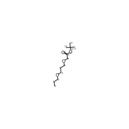 CCCOCCCOCC(=O)OC(C)(C)C